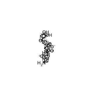 CON=C(C(=O)N[C@]1(C)C(=O)N2C(C(=O)[O-])=C([N+]3(C)CCN(C(=O)c4cc(O)c(O)cn4)CC3)CS[C@H]21)c1nsc(N)n1